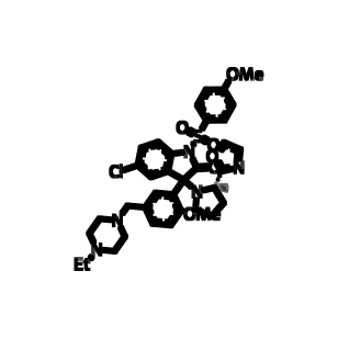 CCN1CCN(Cc2ccc(OC)c(C3(N4CCC[C@H]4c4ncco4)C(=O)N(S(=O)(=O)c4ccc(OC)cc4)c4ccc(Cl)cc43)c2)CC1